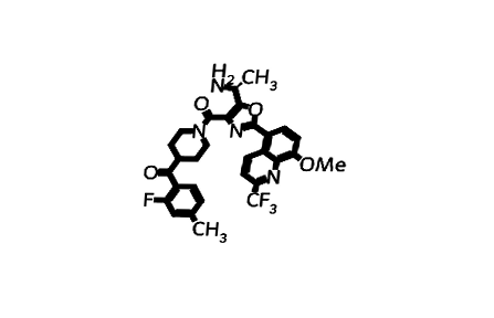 COc1ccc(-c2nc(C(=O)N3CCC(C(=O)c4ccc(C)cc4F)CC3)c([C@@H](C)N)o2)c2ccc(C(F)(F)F)nc12